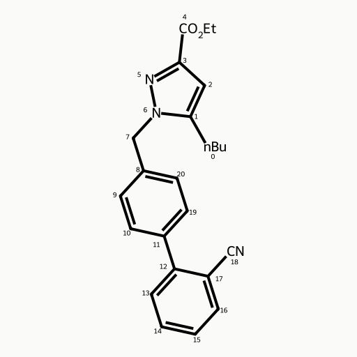 CCCCc1cc(C(=O)OCC)nn1Cc1ccc(-c2ccccc2C#N)cc1